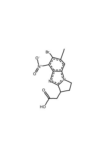 Cc1cc2c(nc3n2CCC3CC(=O)O)c([N+](=O)[O-])c1Br